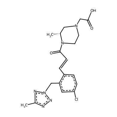 Cc1nnn(Cc2cc(Cl)ccc2C=CC(=O)N2CCN(CC(=O)O)C[C@H]2C)n1